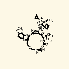 C=C[C@@H]1C=C[C@]1(NC(=O)[C@@H]1C[C@@H]2CN1C(=O)[C@H](C(C)(C)C)NC(=O)O[C@@H]1C[C@H]1CCCCCc1nc3ccc(OC)cc3nc1O2)C(=O)NS(=O)(=O)C1CC1